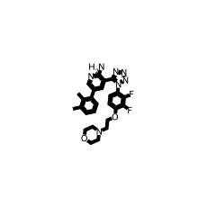 Cc1cccc(-c2cnc(N)c(-c3nnnn3-c3ccc(OCCN4CCOCC4)c(F)c3F)c2)c1C